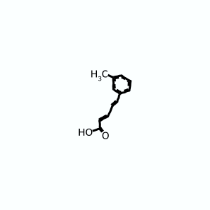 Cc1cccc(C=CC=CC(=O)O)c1